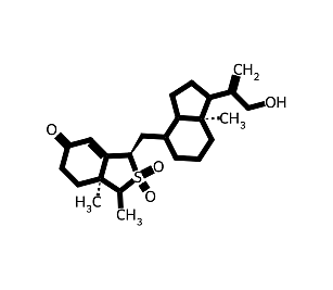 C=C(CO)C1CCC2C(C[C@@H]3C4=CC(=O)CC[C@]4(C)C(C)S3(=O)=O)CCC[C@]12C